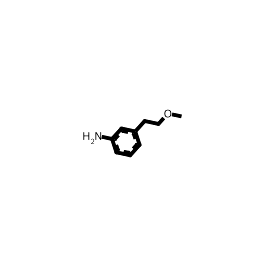 COCCc1cccc(N)c1